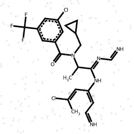 C/C(Cl)=C\C(=C/C=N)N/C(=N\C=N)C(C)N(CC1CC1)C(=O)c1cc(Cl)cc(C(F)(F)F)c1